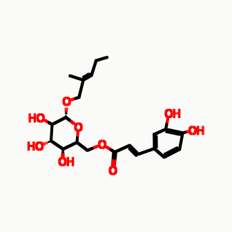 CC/C=C(\C)CO[C@@H]1OC(COC(=O)/C=C/c2ccc(O)c(O)c2)[C@@H](O)[C@H](O)C1O